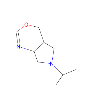 CC(C)N1CC2COC=NC2C1